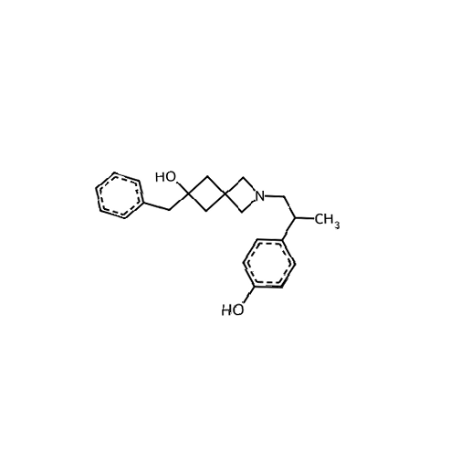 CC(CN1CC2(C1)CC(O)(Cc1ccccc1)C2)c1ccc(O)cc1